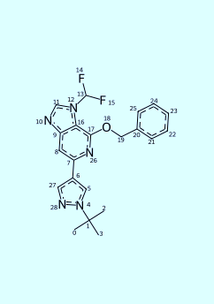 CC(C)(C)n1cc(-c2cc3ncn(C(F)F)c3c(OCc3ccccc3)n2)cn1